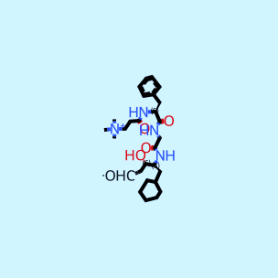 C[N+](C)(C)CCC(=O)N[C@@H](Cc1ccccc1)C(=O)NCC(=O)N[C@@H](CC1CCCCC1)[C@@H](O)C[C]=O